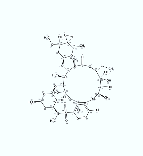 CC[C@H]1OC(=O)[C@H](C)[C@@H](O[C@H]2C[C@@](C)(OC)[C@]3(CO3)[C@H](C)O2)[C@H](C)[C@@H](O[C@@H]2O[C@H](C)C[C@H](N(C)S(=O)(=O)c3ccc(Cl)cc3)[C@H]2O)[C@](C)(O)C[C@@H](C)CN[C@H](C)[C@@H](O)[C@]1(C)O